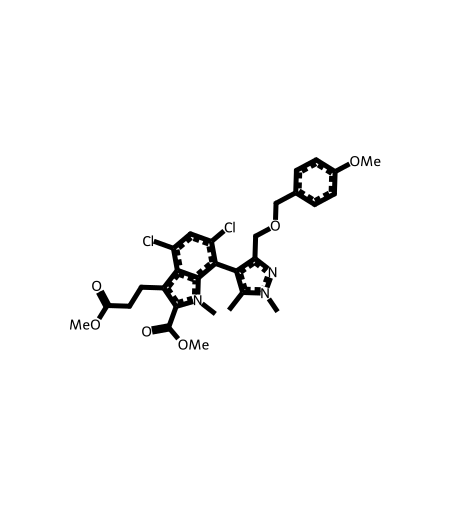 COC(=O)CCc1c(C(=O)OC)n(C)c2c(-c3c(COCc4ccc(OC)cc4)nn(C)c3C)c(Cl)cc(Cl)c12